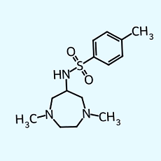 Cc1ccc(S(=O)(=O)NC2CN(C)CCN(C)C2)cc1